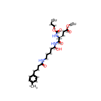 Cc1ccc(CCCC(=O)NCCCCC(O)NC(=O)[C@H](CCC(=O)OC(C)(C)C)NC(=O)OCCC(C)(C)C)cc1